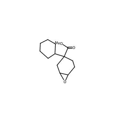 COC(=O)C1(C2CCCCC2)CCC2OC2C1